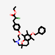 CCOC(=O)C(Br)Cc1ccc(OCCN(CC)CC2(C)CCc3c(C)c(OCc4ccccc4)c(C)c(C)c3O2)cc1